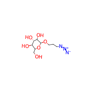 [N-]=[N+]=NCCCO[C@H]1OC(CO)[C@@H](O)[C@H](O)C1O